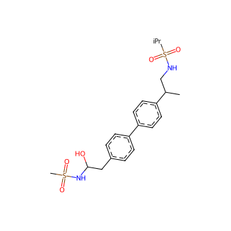 CC(CNS(=O)(=O)C(C)C)c1ccc(-c2ccc(CC(O)NS(C)(=O)=O)cc2)cc1